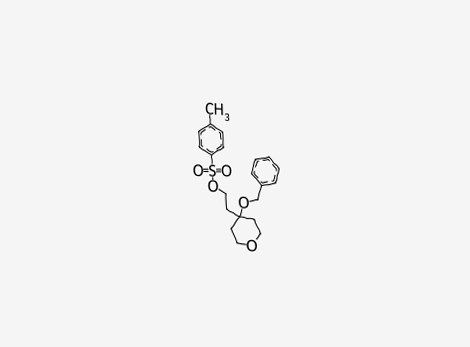 Cc1ccc(S(=O)(=O)OCCC2(OCc3ccccc3)CCOCC2)cc1